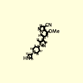 COc1cc(-c2cnn(C3CCN(C4CNC4)CC3)c2C)cn2ncc(C#N)c12